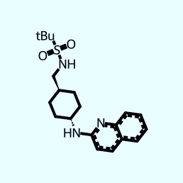 CC(C)(C)S(=O)(=O)NC[C@H]1CC[C@H](Nc2ccc3ccccc3n2)CC1